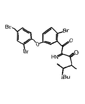 CCC(C)C(C)C(C)C(=O)C(=N)C(=O)c1cc(Oc2ccc(Br)cc2Br)ccc1Br